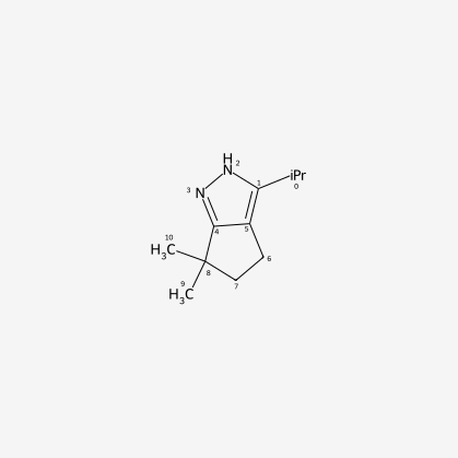 CC(C)c1[nH]nc2c1CCC2(C)C